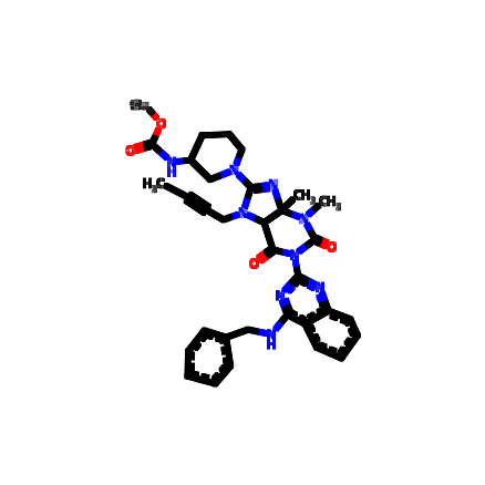 CC#CCN1C(N2CCCC(NC(=O)OC(C)(C)C)C2)=NC2(C)C1C(=O)N(c1nc(NCc3ccccc3)c3ccccc3n1)C(=O)N2C